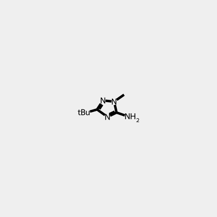 Cn1nc(C(C)(C)C)nc1N